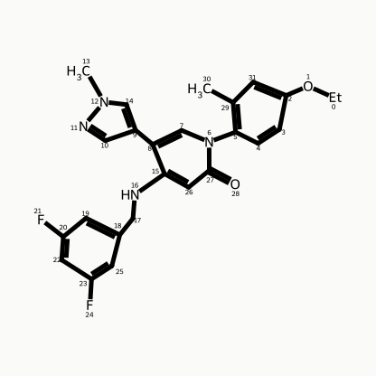 CCOc1ccc(-n2cc(-c3cnn(C)c3)c(NCc3cc(F)cc(F)c3)cc2=O)c(C)c1